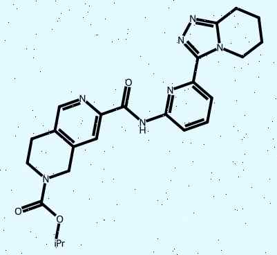 CC(C)OC(=O)N1CCc2cnc(C(=O)Nc3cccc(-c4nnc5n4CCCC5)n3)cc2C1